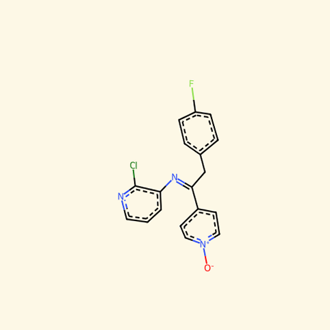 [O-][n+]1ccc(C(Cc2ccc(F)cc2)=Nc2cccnc2Cl)cc1